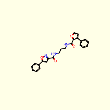 O=C(NCCCNC(=O)c1occc1-c1ccccc1)c1cc(-c2ccccc2)on1